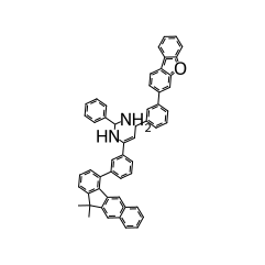 CC1(C)c2cc3ccccc3cc2-c2c(-c3cccc(/C(=C/Cc4cccc(-c5ccc6c(c5)oc5ccccc56)c4)NC(N)c4ccccc4)c3)cccc21